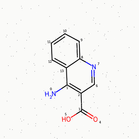 Nc1c(C(=O)O)cnc2ccccc12